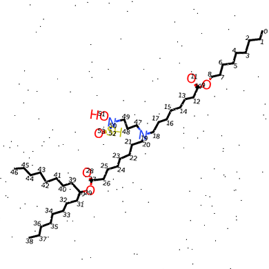 CCCCCCCCCOC(=O)CCCCCCCN(CCCCCCCC(=O)OC(CCCCCCCC)CCCCCCCC)CCCN(O)[SH]=O